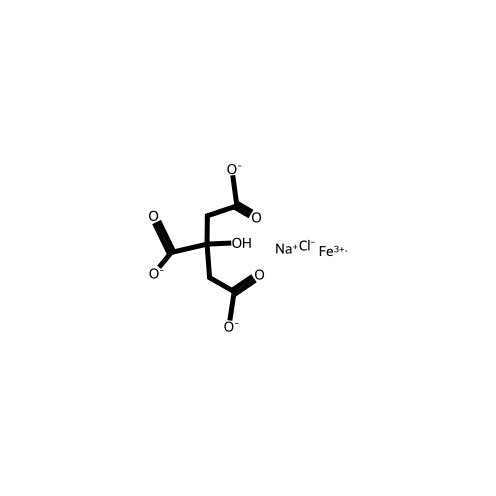 O=C([O-])CC(O)(CC(=O)[O-])C(=O)[O-].[Cl-].[Fe+3].[Na+]